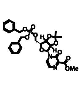 COC(=O)c1nccn([C@@H]2O[C@H](COP(=O)(OCc3ccccc3)OCc3ccccc3)[C@@H]3OC(C)(C)O[C@H]32)c1=O